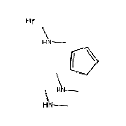 C1=CCC=C1.CNC.CNC.CNC.[Hf]